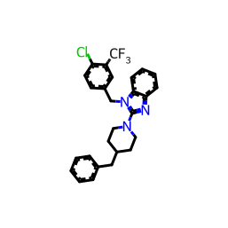 FC(F)(F)c1cc(Cn2c(N3CCC(Cc4ccccc4)CC3)nc3ccccc32)ccc1Cl